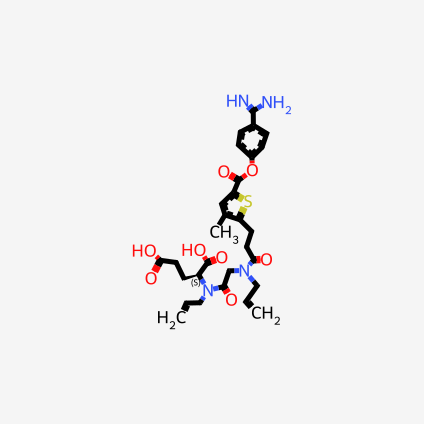 C=CCN(CC(=O)N(CC=C)[C@@H](CCC(=O)O)C(=O)O)C(=O)CCc1sc(C(=O)Oc2ccc(C(=N)N)cc2)cc1C